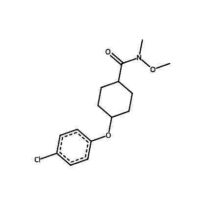 CON(C)C(=O)C1CCC(Oc2ccc(Cl)cc2)CC1